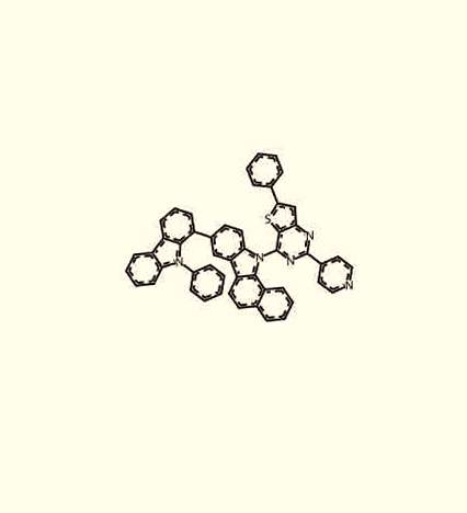 c1ccc(-c2cc3nc(-c4ccncc4)nc(-n4c5ccc(-c6cccc7c8ccccc8n(-c8ccccc8)c67)cc5c5ccc6ccccc6c54)c3s2)cc1